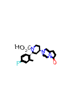 Cc1cc(F)ccc1[C@H]1C[C@@H](n2ccn3c(=O)ccc-3c2)CCN1C(=O)O